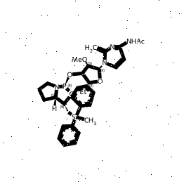 C=C1N=C(NC(C)=O)C=CN1[C@@H]1O[C@H](CC)C(O[P@@]2O[C@H](C[Si](C)(c3ccccc3)c3ccccc3)[C@@H]3CCCN32)[C@@H]1OC